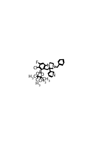 CC1(C)OB(c2c(Cl)c(F)cc3c2CC2(c4cccnc4)CN(Cc4ccccc4)CCN32)OC1(C)C